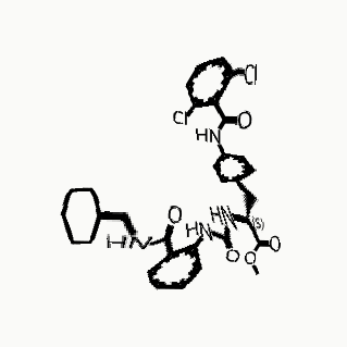 COC(=O)[C@H](Cc1ccc(NC(=O)c2c(Cl)cccc2Cl)cc1)NC(=O)Nc1ccccc1C(=O)NCC1CCCCC1